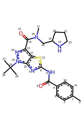 Cc1ccc(C(=O)Nc2nc3c(s2)c(C(=O)N(C)CC2CCCN2)nn3C(C)(C)C)cc1